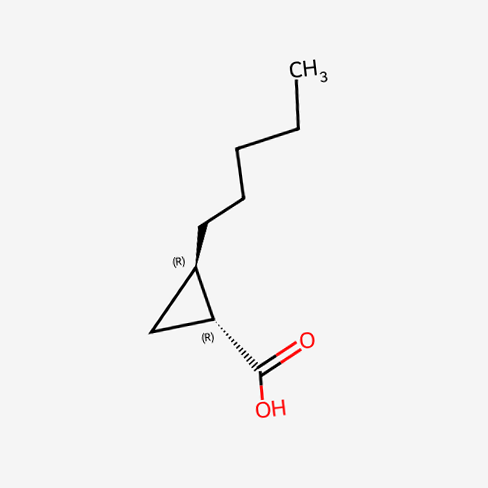 CCCCC[C@@H]1C[C@H]1C(=O)O